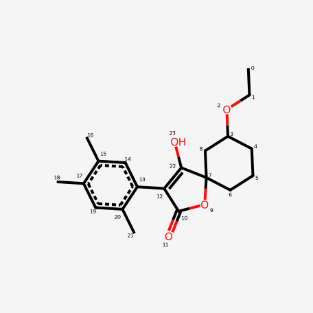 CCOC1CCCC2(C1)OC(=O)C(c1cc(C)c(C)cc1C)=C2O